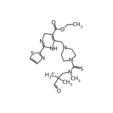 CCOC(=O)C1=C(CN2CCN(C(=S)N(C)CC(C)(C)C=O)CC2)NC(c2nccs2)=NC1